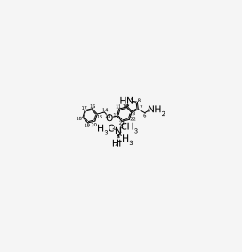 CN(C)C.I.NCc1c[nH]c2cc(OCc3ccccc3)ccc12